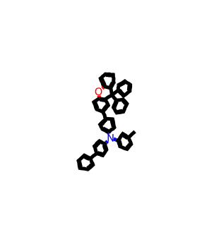 Cc1cccc(N(c2ccc(-c3ccccc3)cc2)c2ccc(-c3ccc4c(c3)C(c3ccccc3)(c3ccccc3)c3ccccc3O4)cc2)c1